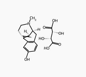 CN1CC[C@@]23CCCC[C@@H]2[C@@H]1Cc1ccc(O)cc13.O=C(O)[C@H](O)[C@@H](O)C(=O)O